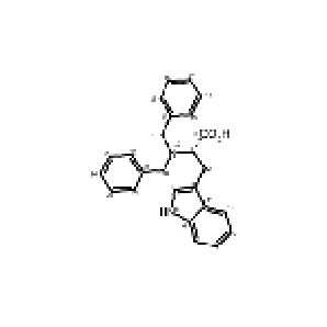 O=C(O)[C@H](Cc1c[nH]c2ccccc12)N(Cc1ccccc1)Cc1ccccc1